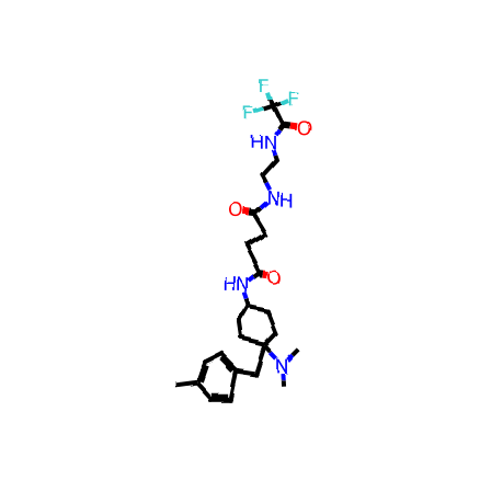 Cc1ccc(CC2(N(C)C)CCC(NC(=O)CCC(=O)NCCNC(=O)C(F)(F)F)CC2)cc1